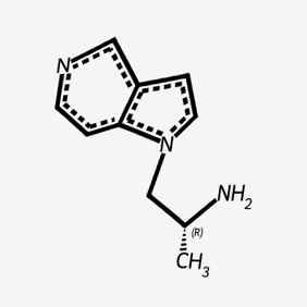 C[C@@H](N)Cn1ccc2cnccc21